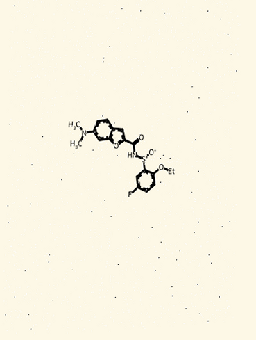 CCOc1ccc(F)cc1[S+]([O-])NC(=O)c1cc2ccc(N(C)C)cc2o1